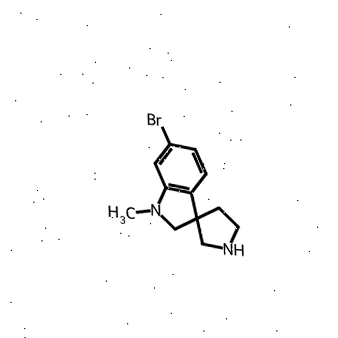 CN1CC2(CCNC2)c2ccc(Br)cc21